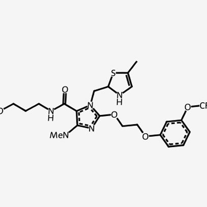 CNc1nc(OCCOc2cccc(OC(F)(F)F)c2)n(CC2NC=C(C)S2)c1C(=O)NCCCO